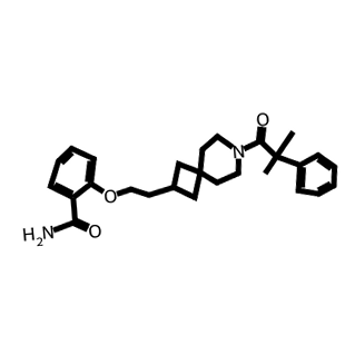 CC(C)(C(=O)N1CCC2(CC1)CC(CCOc1ccccc1C(N)=O)C2)c1ccccc1